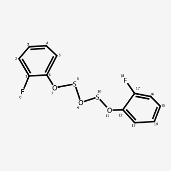 Fc1ccccc1OSOSOc1ccccc1F